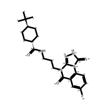 CC(C)(C)[C@H]1CC[C@H](C(=O)NCCCn2c(=O)c3cc(F)ccc3n3c(=S)[nH]nc23)CC1